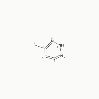 CC1=NNN=C=C1